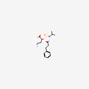 CC(C)[C@@H](NC(=O)CCc1ccccc1)P(=O)(O)OC(CCN)C(=O)O